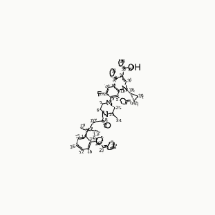 COc1c(N2CCN(C(=O)CC(C)(C)c3ccccc3OC=O)C(C)C2)c(F)cc2c(=O)c(C(=O)O)cn(C3CC3)c12